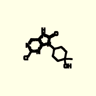 CC1(O)CCC(n2c(=O)[nH]c3cnc(Cl)nc32)CC1